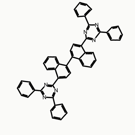 c1ccc(-c2nc(-c3ccccc3)nc(-c3ccc(-c4ccc(-c5nc(-c6ccccc6)nc(-c6ccccc6)n5)c5ccccc45)c4ccccc34)n2)cc1